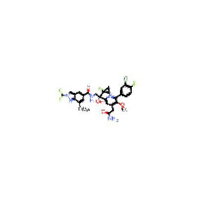 CCOc1c(CC(N)=O)cc([C@@](O)(CNC(=O)c2cc(OC)c3nn(C(F)F)cc3c2)C2(F)CC2)nc1-c1ccc(F)c(Cl)c1